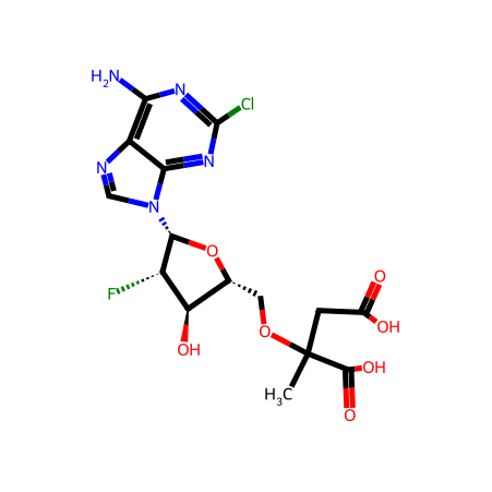 CC(CC(=O)O)(OC[C@H]1O[C@@H](n2cnc3c(N)nc(Cl)nc32)[C@@H](F)[C@@H]1O)C(=O)O